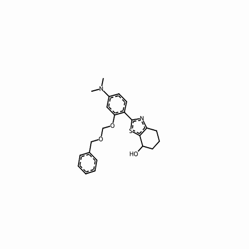 CN(C)c1ccc(-c2nc3c(s2)C(O)CCC3)c(OCOCc2ccccc2)c1